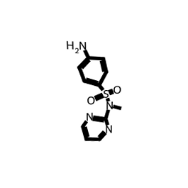 CN(c1ncccn1)S(=O)(=O)c1ccc(N)cc1